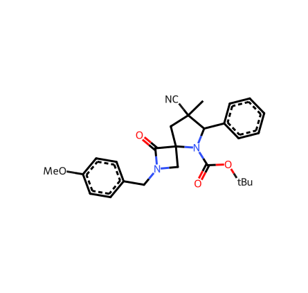 COc1ccc(CN2CC3(CC(C)(C#N)C(c4ccccc4)N3C(=O)OC(C)(C)C)C2=O)cc1